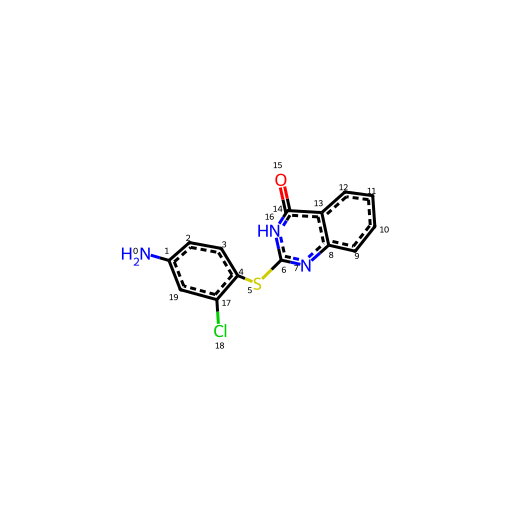 Nc1ccc(Sc2nc3ccccc3c(=O)[nH]2)c(Cl)c1